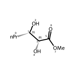 CCC[C@H](O)[C@@H](O)C(=O)OC